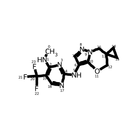 CNc1nc(Nc2cnn3c2OCC2(CC2)C3)ncc1C(F)(F)F